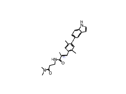 C/C(=C\c1cc(C)c(-c2ccc3[nH]ccc3c2)cc1C)C(=O)NCCC(=O)N(C)C